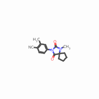 Cc1cc(N2C(=O)N(C)C3(CCCC3)C2=O)ccc1C#N